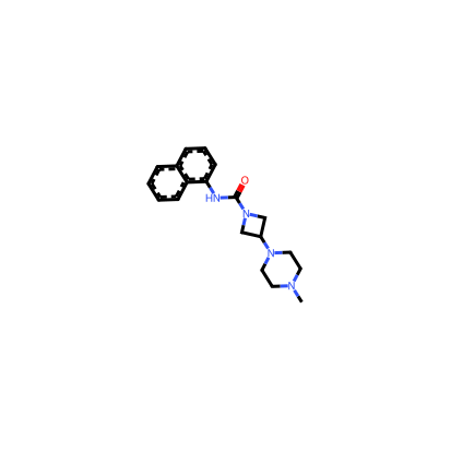 CN1CCN(C2CN(C(=O)Nc3cccc4ccccc34)C2)CC1